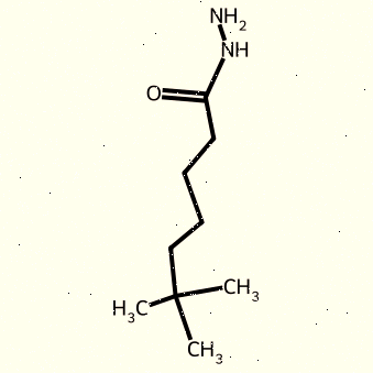 CC(C)(C)CCCCC(=O)NN